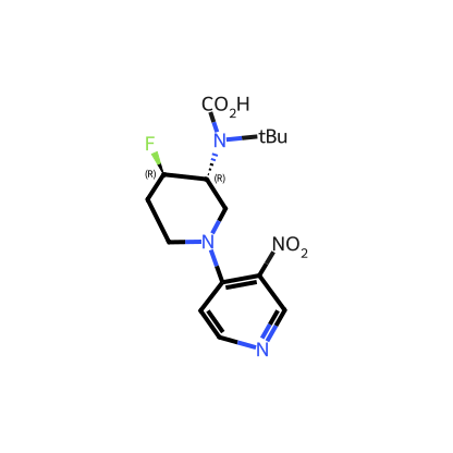 CC(C)(C)N(C(=O)O)[C@@H]1CN(c2ccncc2[N+](=O)[O-])CC[C@H]1F